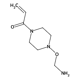 C=CC(=O)N1CCN(OCN)CC1